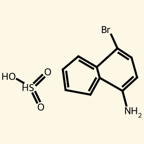 Nc1ccc(Br)c2ccccc12.O=[SH](=O)O